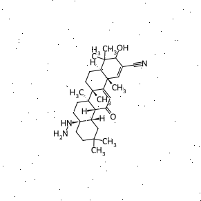 CC1(C)CC[C@]2(NN)CC[C@]3(C)[C@H](C(=O)C=C4[C@@]5(C)C=C(C#N)C(O)C(C)(C)[C@@H]5CC[C@]43C)[C@@H]2C1